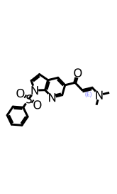 CN(C)/C=C/C(=O)c1cnc2c(ccn2S(=O)(=O)c2ccccc2)c1